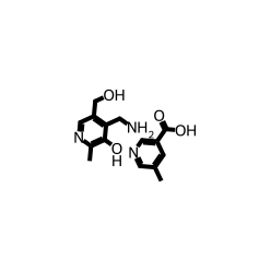 Cc1cncc(C(=O)O)c1.Cc1ncc(CO)c(CN)c1O